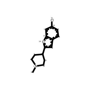 CN1CCC(c2cc3ccc(Cl)cc3o2)CC1